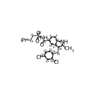 Cc1[nH]c2ccc(C(=O)NS(=O)(=O)CCC(C)C)cc2c1Cc1ccc(Cl)cc1Cl